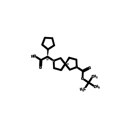 CC(C)(C)OC(=O)N1CC[C@]2(CCN([C@H](C(=O)O)C3CCCC3)C2)C1